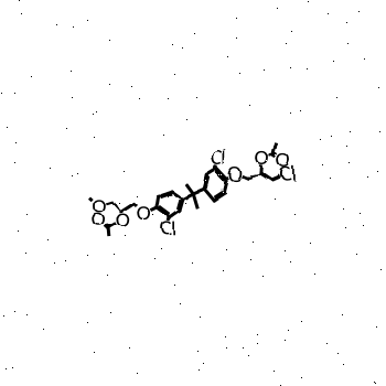 COC[C@@H](COc1ccc(C(C)(C)c2ccc(OC[C@H](CCl)OC(C)=O)c(Cl)c2)cc1Cl)OC(C)=O